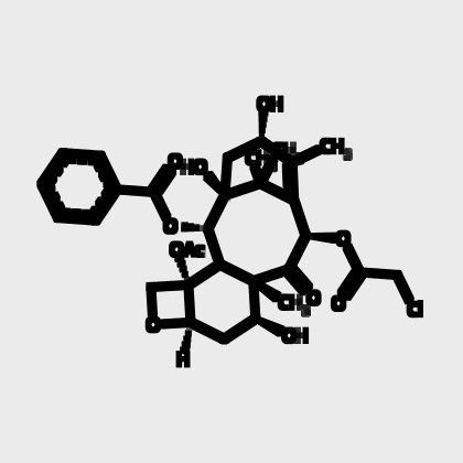 CC(=O)O[C@@]12CO[C@@H]1C[C@H](O)[C@@]1(C)C(=O)[C@H](OC(=O)CCl)C3=C(C)[C@@H](O)C[C@@](O)([C@@H](OC(=O)c4ccccc4)C12)C3(C)C